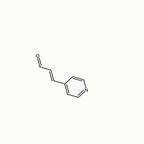 O=[C]C=Cc1ccncc1